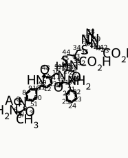 CC(=O)N(C(=O)[C@@H](C)N)c1ccc(-c2ccc(CN(C(=O)C(N)c3ccccc3)C3C(=O)N4C(C(=O)O)=C(CSc5nnnn5CCC(=O)O)CS[C@@H]34)c(=O)[nH]2)cc1